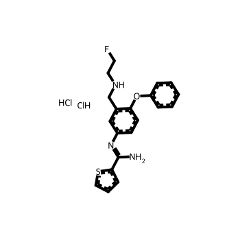 Cl.Cl.N/C(=N\c1ccc(Oc2ccccc2)c(CNCCF)c1)c1cccs1